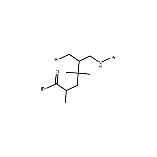 CC(C)CC(CNC(C)C)C(C)(C)CC(C)C(=O)C(C)C